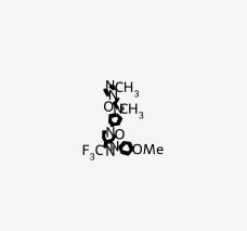 COc1ccc(-n2nc(C(F)(F)F)c3c2C(=O)N(c2ccc(N(C)C(=O)Cn4ccnc4C)cc2)CC3)cc1